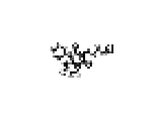 O=c1c(-c2ccccc2)c2n(c(=O)n1CCCCCl)CCS2(=O)=O